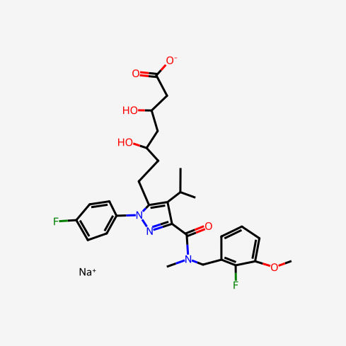 COc1cccc(CN(C)C(=O)c2nn(-c3ccc(F)cc3)c(CCC(O)CC(O)CC(=O)[O-])c2C(C)C)c1F.[Na+]